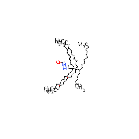 CCCCCCCCCCC(CCCCC)C(CCCCCCCCCC)(CCCCCCCCCC)C(CCCCCCCCCC)(CCCCCCCCCC)CCN[C]=O